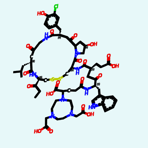 CCC(=O)[C@@H]1CSSC[C@H](NC(=O)[C@@H](CCC(=O)O)CC(=O)[C@H](Cc2c[nH]c3ccccc23)NC(=O)CCC(C(=O)O)N2CCN(CC(=O)O)CCN(CC(=O)O)CC2)C(=O)N2C[C@H](O)CC2C(=O)C[C@@H](Cc2ccc(O)c(Cl)c2)C(=O)NCC(=O)C[C@@H](CC(C)C)C(=O)N1